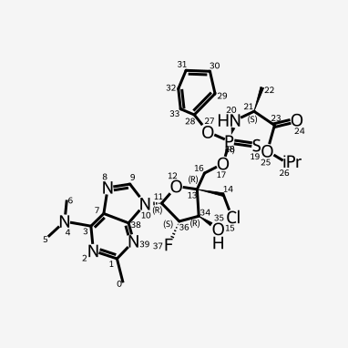 Cc1nc(N(C)C)c2ncn([C@@H]3O[C@](CCl)(CO[P@](=S)(N[C@@H](C)C(=O)OC(C)C)Oc4ccccc4)[C@@H](O)[C@@H]3F)c2n1